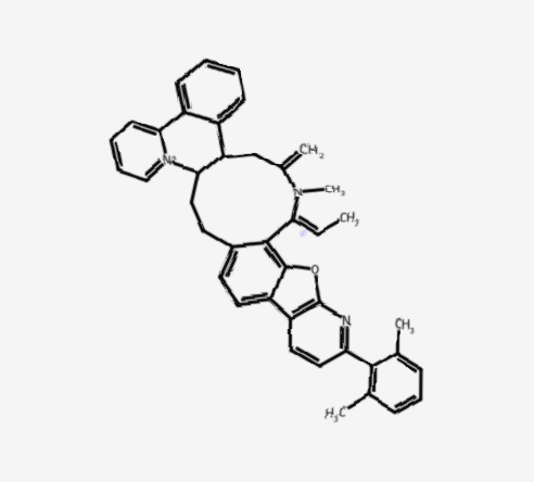 C=C1CC2c3ccccc3-c3cccc[n+]3C2CCc2ccc3c(oc4nc(-c5c(C)cccc5C)ccc43)c2/C(=C/C)N1C